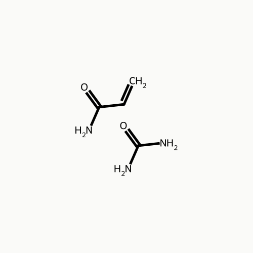 C=CC(N)=O.NC(N)=O